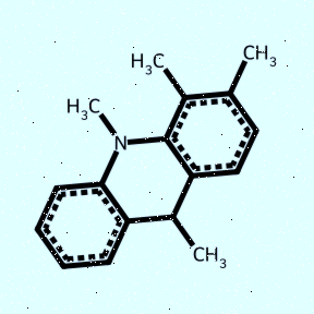 Cc1ccc2c(c1C)N(C)c1ccccc1C2C